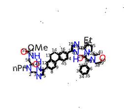 CCCN(Cc1ncc(-c2ccc3c(c2)CCc2cc(-c4cnc([C@@H]5[C@H](CC)CCN5C(=O)[C@@H](c5ccccc5)N5CCOCC5)[nH]4)ccc2-3)[nH]1)C(=O)CNC(=O)OC